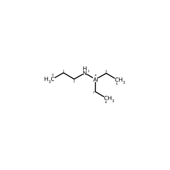 CCC[NH][Al]([CH2]C)[CH2]C